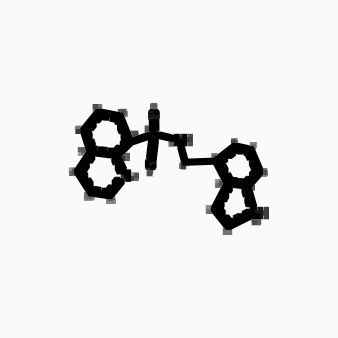 O=S(=O)(NCc1cccc2[nH]ccc12)c1cccc2cccnc12